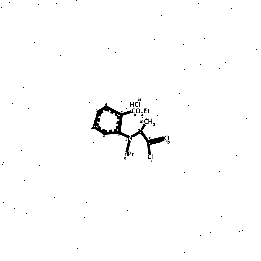 CCCN(c1ccccc1C(=O)OCC)[C@@H](C)C(=O)Cl.Cl